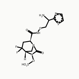 NC(CONC(=O)[C@@H]1CC(F)(F)[C@@H]2CN1C(=O)N2OS(=O)(=O)O)c1nccs1